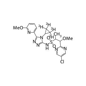 [2H]C1([2H])C(n2c(NS(=O)(=O)C(C)C(OC)c3ncc(Cl)cn3)nnc2-c2cccc(OC)n2)C1([2H])[2H]